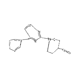 O=CC1CCN(c2nccc(-c3ccccc3)n2)CC1